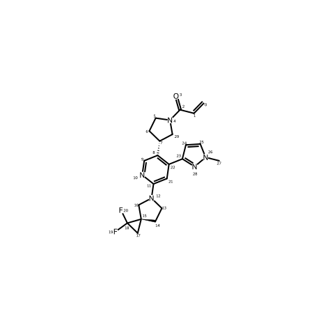 C=CC(=O)N1CC[C@@H](c2cnc(N3CC[C@@]4(C3)CC4(F)F)cc2-c2ccn(C)n2)C1